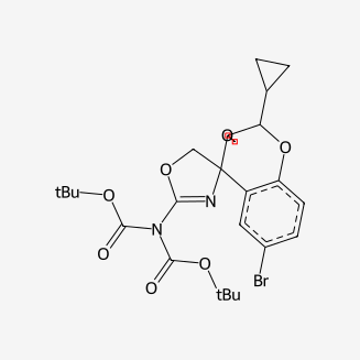 CC(C)(C)OC(=O)N(C(=O)OC(C)(C)C)C1=NC2(CO1)c1cc(Br)ccc1OC(C1CC1)C21COC1